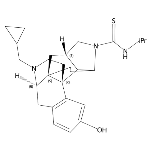 CC(C)NC(=S)N1C[C@H]2C[C@@]34CCC1C2[C@@]31CCN(CC2CC2)[C@@H]4Cc2ccc(O)cc21